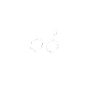 Clc1[c]cccc1.c1ccccc1